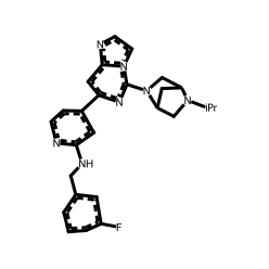 CC(C)N1CC2CC1CN2c1nc(-c2ccnc(NCc3cccc(F)c3)c2)cc2nccn12